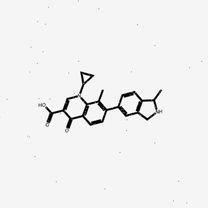 Cc1c(-c2ccc3c(c2)CNC3C)ccc2c(=O)c(C(=O)O)cn(C3CC3)c12